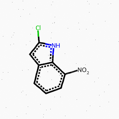 O=[N+]([O-])c1cccc2cc(Cl)[nH]c12